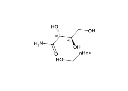 CCCCCCCO.NC(=O)[C@H](O)[C@H](O)CO